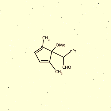 CCCC(C=O)C1(OC)C(C)=CC=C1C